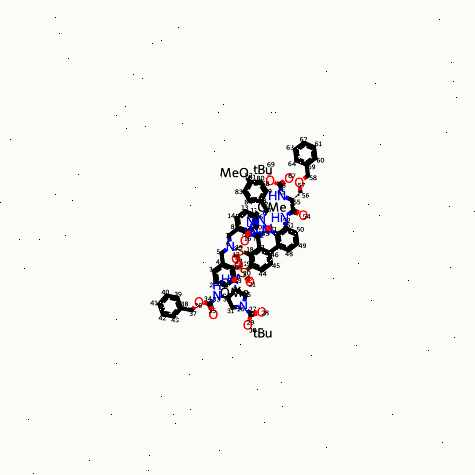 COc1ccc(CN(Cc2ccc(OC)cc2)S(=O)(=O)c2c(S(=O)(=O)N[C@@H]3CN(C(=O)OC(C)(C)C)C[C@H]3NC(=O)OCc3ccccc3)ccc(-c3cccc(NC(=O)[C@@H](COCc4ccccc4)NC(=O)OC(C)(C)C)c3N)c2-c2nnn(Cc3ccc(OC)cc3)n2)cc1